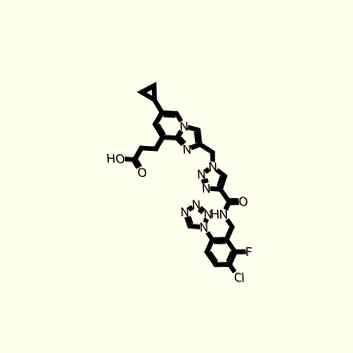 O=C(O)CCc1cc(C2CC2)cn2cc(Cn3cc(C(=O)NCc4c(-n5cnnn5)ccc(Cl)c4F)nn3)nc12